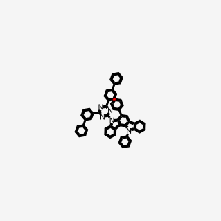 c1ccc(-c2ccc(-c3nc(-c4cccc(-c5ccccc5)c4)nc(-n4c5ccccc5c5c4c(-c4ccccc4)cc4c6ccccc6n(-c6ccccc6)c45)n3)cc2)cc1